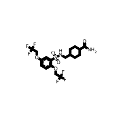 NC(=O)C1CCC(CNS(=O)(=O)c2cc(OCC(F)(F)F)ccc2OCC(F)(F)F)CC1